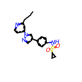 CCCc1cc(-n2cc(-c3ccc(NS(=O)(=O)C4CC4)cc3)cn2)ccn1